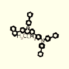 CC1(C)c2cc(-c3ccc(N(c4ccc(-c5ccccc5)cc4)c4ccc(-c5ccccc5)cc4)cc3)ccc2N(c2ccc(-c3ccccc3)cc2)c2ccc(-c3cccc4ccccc34)cc21